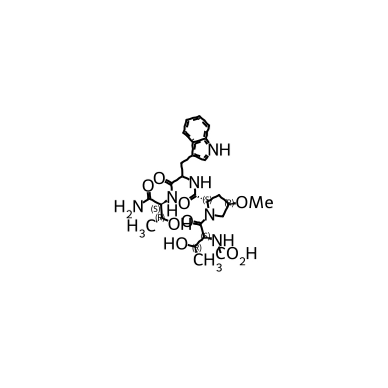 CO[C@@H]1C[C@@H](C(=O)NC(Cc2c[nH]c3ccccc23)C(=O)N[C@H](C(N)=O)[C@@H](C)O)N(C(=O)[C@@H](NC(=O)O)[C@@H](C)O)C1